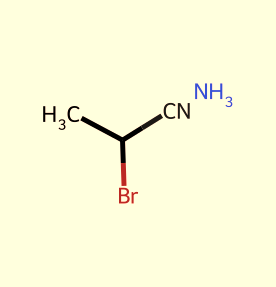 CC(Br)C#N.N